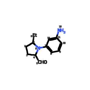 CCC1CCC(C=O)N1c1cccc(N)c1